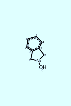 ON1Cc2ccccc2C1